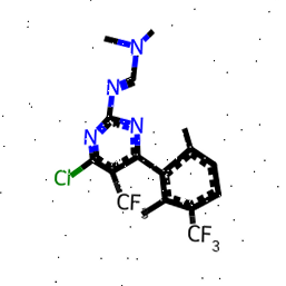 Cc1ccc(C(F)(F)F)c(C)c1-c1nc(N=CN(C)C)nc(Cl)c1C(F)(F)F